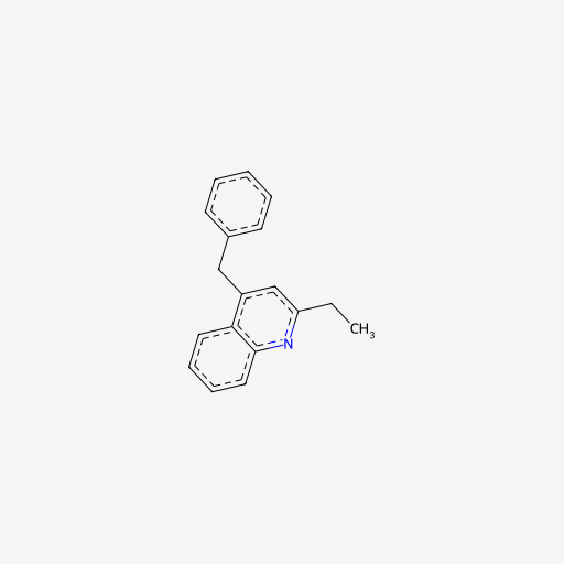 CCc1cc(Cc2ccccc2)c2ccccc2n1